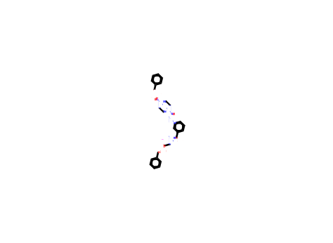 O=C(CNC(=O)c1cccc(NC(=O)N2CCN(C(=O)OCc3ccccc3)CC2)c1)OCc1ccccc1